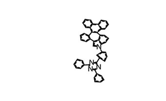 c1ccc(-c2nc(-c3ccccc3)nc(-c3cccc(-n4cc5c6c(cccc64)-c4c(c6ccccc6c6ccccc46)-c4ccccc4-5)c3)n2)cc1